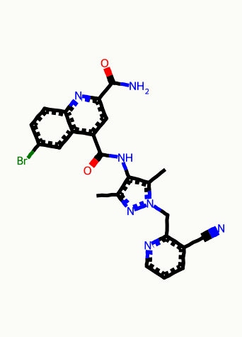 Cc1nn(Cc2ncccc2C#N)c(C)c1NC(=O)c1cc(C(N)=O)nc2ccc(Br)cc12